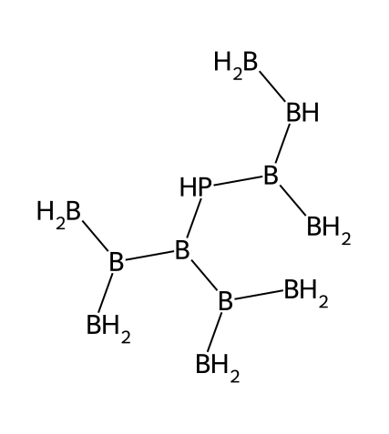 BBB(B)PB(B(B)B)B(B)B